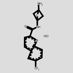 Cl.NC12CC(NC(=O)c3ccc4cc(C(F)(F)F)ccc4n3)(C1)C2